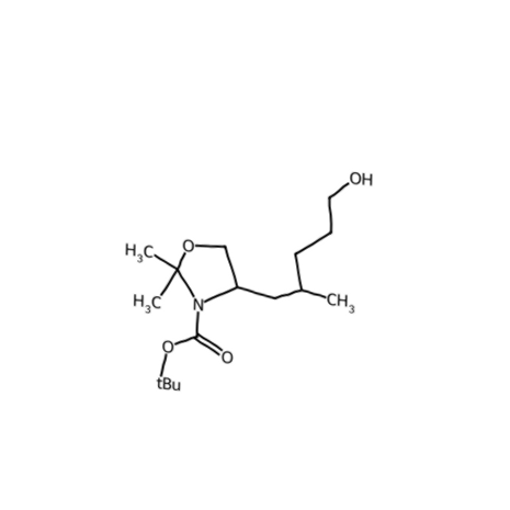 CC(CCCO)CC1COC(C)(C)N1C(=O)OC(C)(C)C